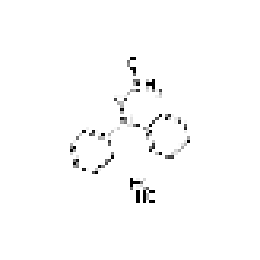 Cl.Cl.Cl[SiH2][O][Al]([c]1ccccc1)[c]1ccccc1